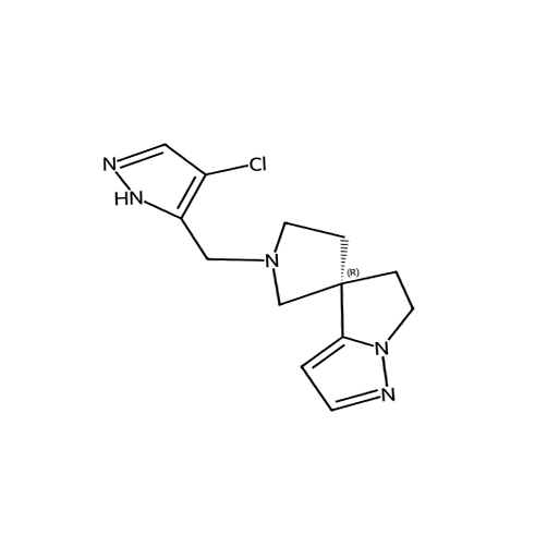 Clc1cn[nH]c1CN1CC[C@@]2(CCn3nccc32)C1